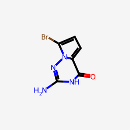 Nc1nn2c(Br)ccc2c(=O)[nH]1